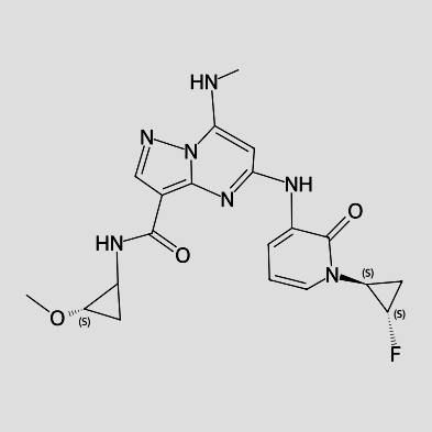 CNc1cc(Nc2cccn([C@H]3C[C@@H]3F)c2=O)nc2c(C(=O)NC3C[C@@H]3OC)cnn12